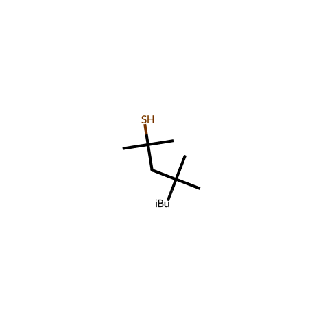 CCC(C)C(C)(C)CC(C)(C)S